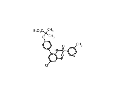 CCOC(=O)C(C)(C)Oc1ccc(-c2cc(Cl)cc(F)c2NS(=O)(=O)c2cncc(C)c2)cc1